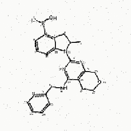 CC1Cc2c(B(O)O)cccc2N1c1nc2c(c(NCc3ccccc3)n1)CCOC2